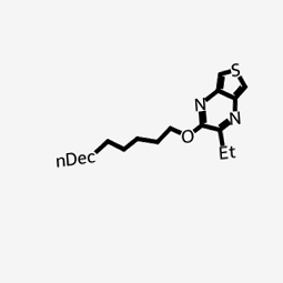 CCCCCCCCCCCCCCCOc1nc2cscc2nc1CC